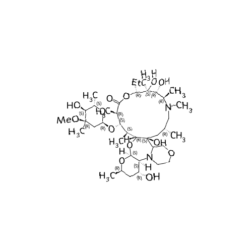 CC[C@H]1OC(=O)[C@H](C)[C@@H](O[C@H]2C[C@@](C)(OC)[C@@H](O)[C@H](C)O2)[C@H](C)[C@H]2O[C@@H]3O[C@H](C)C[C@@H](O)[C@@H]3N3CCOCC3[C@@]2(O)C[C@@H](C)CN(C)[C@H](C)[C@@H](O)[C@]1(C)O